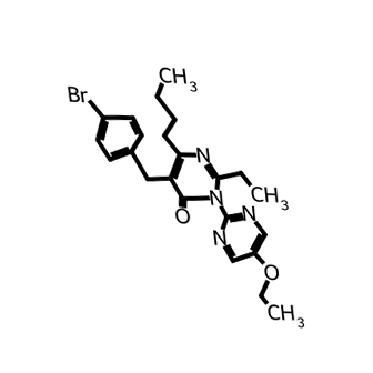 CCCCc1nc(CC)n(-c2ncc(OCC)cn2)c(=O)c1Cc1ccc(Br)cc1